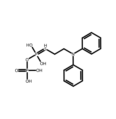 O=P(O)(O)OP(O)(O)=[SH]CCN(c1ccccc1)c1ccccc1